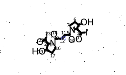 O=C(I)C1C(O)CCN1C(=O)/C=C/C(=O)N1CCC(O)C1C(=O)I